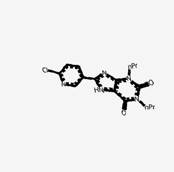 CCCn1c(=O)c2[nH]c(-c3ccc(Cl)nc3)nc2n(CCC)c1=O